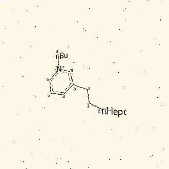 CCCCCCCCCc1ccc[n+](CCCC)c1